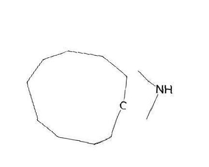 C1CCCCCCCCC1.CNC